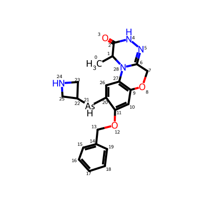 CC1C(=O)NN=C2COc3cc(OCc4ccccc4)c([AsH]C4CNC4)cc3N21